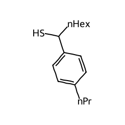 CCCCCCC(S)c1ccc(CCC)cc1